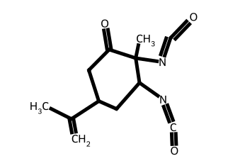 C=C(C)C1CC(=O)C(C)(N=C=O)C(N=C=O)C1